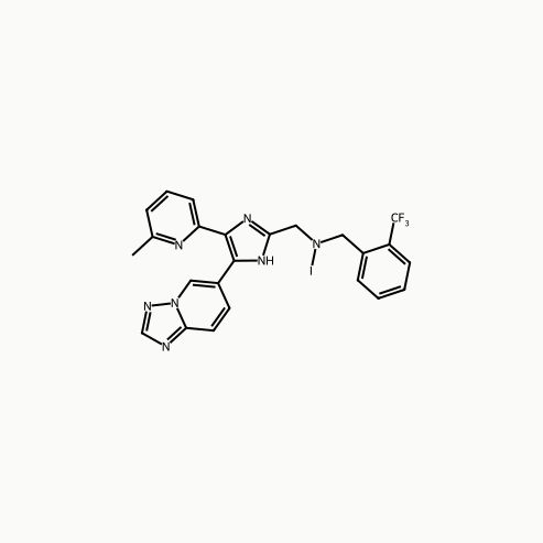 Cc1cccc(-c2nc(CN(I)Cc3ccccc3C(F)(F)F)[nH]c2-c2ccc3ncnn3c2)n1